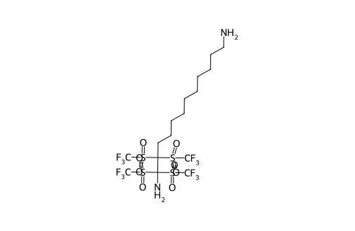 NCCCCCCCCCCC(C(N)(S(=O)(=O)C(F)(F)F)S(=O)(=O)C(F)(F)F)(S(=O)(=O)C(F)(F)F)S(=O)(=O)C(F)(F)F